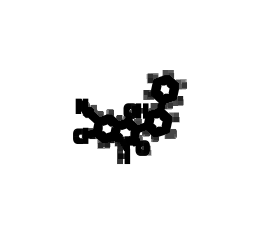 N#Cc1cc2c(O)c(-c3cccc(-c4ccccc4)c3)c(=O)[nH]c2cc1Cl